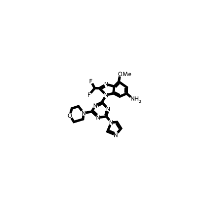 COc1cc(N)cc2c1nc(C(F)F)n2-c1nc(N2CCOCC2)nc(-n2ccnc2)n1